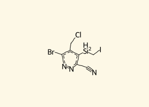 N#Cc1nnc(Br)c(CCl)c1[SiH2]CI